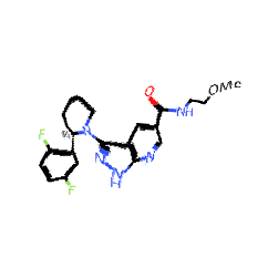 COCCNC(=O)c1cnc2[nH]nc(N3CCC[C@@H]3c3cc(F)ccc3F)c2c1